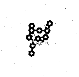 CC1(C)c2ccccc2-c2ccc(N(c3ccc(-c4ccccc4)cc3)c3cccc4c3oc3c(-c5ccc(-c6cccc7c6sc6ccccc67)cc5)c5ccccc5cc34)cc21